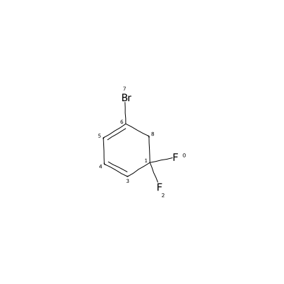 FC1(F)C=CC=C(Br)C1